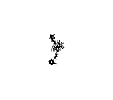 Cc1ccccc1OCCCOc1nc2c(=O)n(C)c(=O)n(CCCc3cccs3)c2c(=O)[nH]1